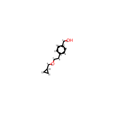 OCc1ccc(CCOCC2CC2)cc1